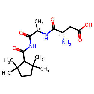 C[C@@H](NC(=O)[C@@H](N)CC(=O)O)C(=O)NC(=O)C1C(C)(C)CCC1(C)C